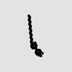 CCCCCCCCCCCCC[n+]1ccc(-c2cc[n+](C)cc2)cc1